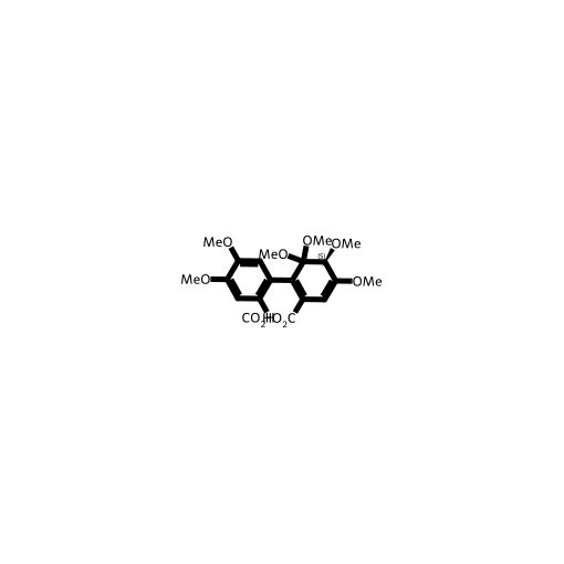 COC1=CC(C(=O)O)=C(c2cc(OC)c(OC)cc2C(=O)O)C(OC)(OC)[C@H]1OC